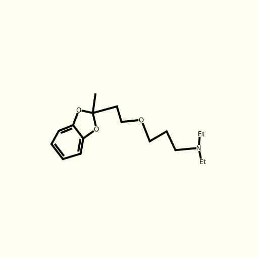 CCN(CC)CCCOCCC1(C)Oc2ccccc2O1